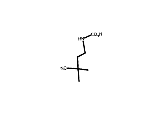 CC(C)(C#N)CCNC(=O)O